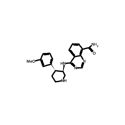 COc1cccc([C@H]2CCNC[C@@H]2Nc2ncnc3c(C(N)=O)cccc23)c1